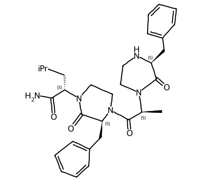 CC(C)C[C@@H](C(N)=O)N1CCN(C(=O)[C@H](C)N2CCN[C@@H](Cc3ccccc3)C2=O)[C@@H](Cc2ccccc2)C1=O